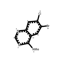 CNc1ncnc2cc(Cl)c(Br)cc12